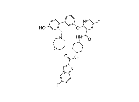 O=C(N[C@H]1CC[C@@H](NC(=O)c2cc(F)cnc2Oc2cccc(-c3ccc(O)cc3CN3CCCOCC3)c2)CC1)c1cn2cc(F)ccc2n1